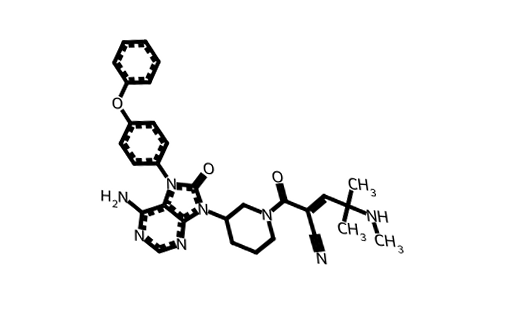 CNC(C)(C)C=C(C#N)C(=O)N1CCCC(n2c(=O)n(-c3ccc(Oc4ccccc4)cc3)c3c(N)ncnc32)C1